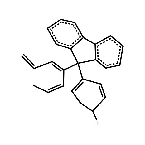 C=C/C=C(\C=C/C)C1(C2=CCC(F)C=C2)c2ccccc2-c2ccccc21